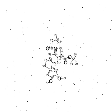 COc1cc2c(cc1OC)C1CC(NC(=O)OC(C)(C)C)C(N3CCC(C)CC3=O)CN1CC2